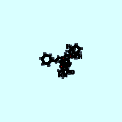 CC(C)(C)OC(=O)N(CCC1CCCCC1)CCN1[C@@H]2CC[C@H]1C[C@@H](c1cccc(C(N)=O)c1)C2